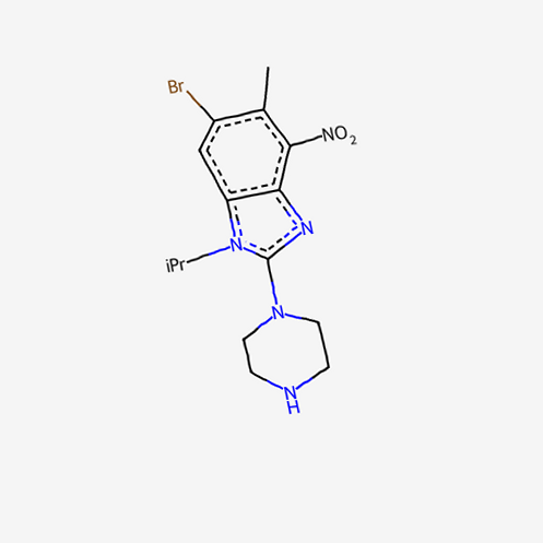 Cc1c(Br)cc2c(nc(N3CCNCC3)n2C(C)C)c1[N+](=O)[O-]